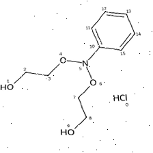 Cl.OCCON(OCCO)c1ccccc1